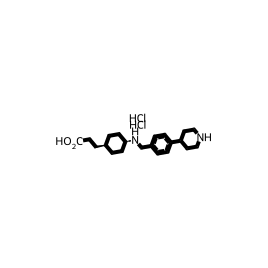 Cl.Cl.O=C(O)CC[C@H]1CC[C@H](NCc2ccc(C3CCNCC3)cc2)CC1